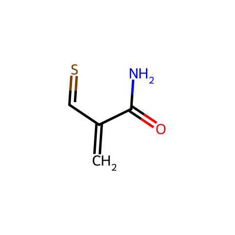 C=C(C=S)C(N)=O